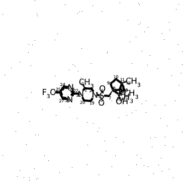 C[C@H]1CN(S(=O)(=O)C[C@]23CC[C@](C)(C[C@@H]2O)C3(C)C)CCN1c1ncc(C(F)(F)F)cn1